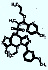 CCCO[C@@H](c1ncc(C)cn1)[C@H](C)S(=O)(=O)Nc1nnc(-c2cccc(OC)n2)n1[C@@H](CC)c1c(C)noc1C